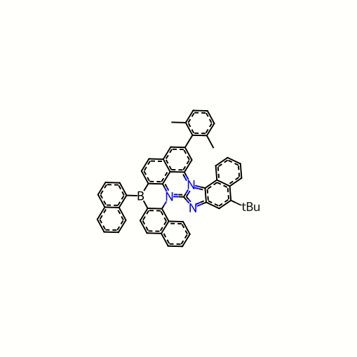 Cc1cccc(C)c1-c1cc2ccc3c4c2c(c1)n1c2c(cc(C(C)(C)C)c5ccccc52)nc1n4-c1c(ccc2ccccc12)B3c1cccc2ccccc12